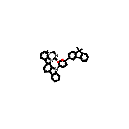 C=N/C=N\C(=N/C)n1c2ccccc2c2ccc3c4ccccc4n(-c4ccc(-c5ccc6c(c5)-c5ccccc5C6(C)C)cc4)c3c21